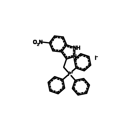 O=[N+]([O-])c1ccc2[nH]nc(C[P+](c3ccccc3)(c3ccccc3)c3ccccc3)c2c1.[I-]